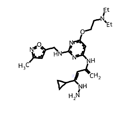 C=C(/C=C(\NN)C1CC1)Nc1cc(OCCN(CC)CC)nc(NCc2cc(C)no2)n1